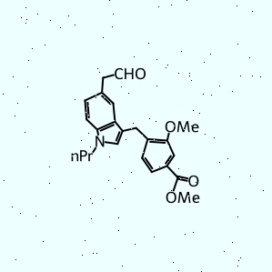 CCCn1cc(Cc2ccc(C(=O)OC)cc2OC)c2cc(CC=O)ccc21